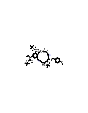 CCN(C(=O)OC(C)(C)C)c1cc2c(c(O[Si](C)(C)C(C)(C)C)c1)C(=O)O[C@@H](C)[C@H](C)/C=C\[C@@H](OCc1ccc(OC)cc1)[C@H]1OC(C)(C)O[C@H]1C/C=C/2